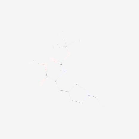 CCN1CCC(CC(NC(=O)OC(C)(C)C)C(=O)OC)CC1